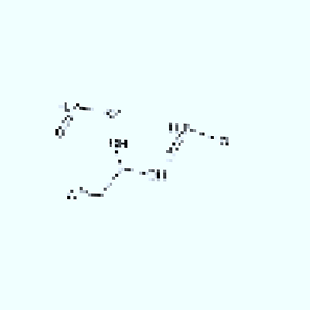 O=[PH2][O-].O=[PH2][O-].OC(O)[CH2][Al+2]